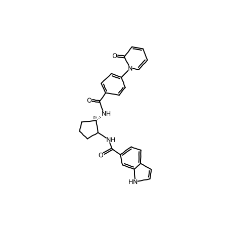 O=C(NC1CCC[C@@H]1NC(=O)c1ccc(-n2ccccc2=O)cc1)c1ccc2cc[nH]c2c1